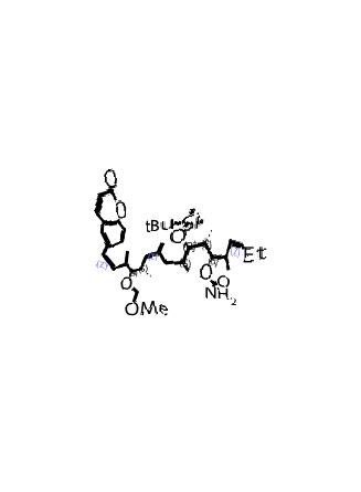 CC/C=C\C(C)[C@H](OC(N)=O)[C@@H](C)[C@H](O[Si](C)(C)C(C)(C)C)[C@@H](C)C/C(C)=C\[C@H](C)[C@@H](OCOC)C(C)/C=C\c1ccc2oc(=O)ccc2c1